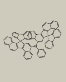 c1ccc(N(c2cc3c(c4ccccc24)-c2ccc4ccccc4c2C32c3ccccc3-c3ccccc32)c2cc3c(c4ccccc24)-c2ccc4ccccc4c2C32c3ccccc3-c3ccccc32)cc1